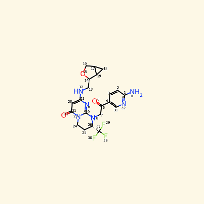 Nc1ccc(C(=O)CN2c3nc(NC[C@H]4OCC5CC54)cc(=O)n3CC[C@H]2C(F)(F)F)cn1